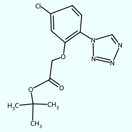 CC(C)(C)OC(=O)COc1cc(Cl)ccc1-n1cnnn1